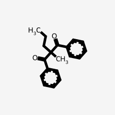 CCCC(C)(C(=O)c1ccccc1)C(=O)c1ccccc1